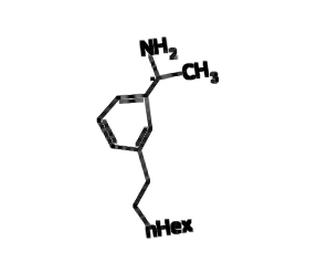 CCCCCCCCc1cccc([C](C)N)c1